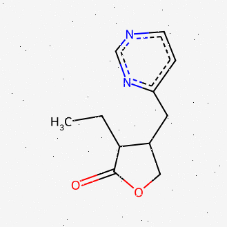 CCC1C(=O)OCC1Cc1ccncn1